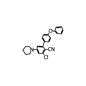 N#Cc1c(Cl)cc(N2CCCCC2)cc1-c1ccc(Oc2ccccc2)cc1